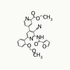 CCOC(=O)c1cc(-c2cc(-c3ccccc3OCOC)nc(NC(=O)c3ccco3)c2C#N)ccn1